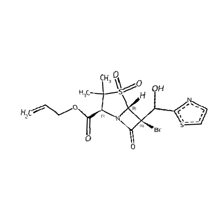 C=CCOC(=O)[C@@H]1N2C(=O)[C@@](Br)(C(O)c3nccs3)[C@H]2S(=O)(=O)C1(C)C